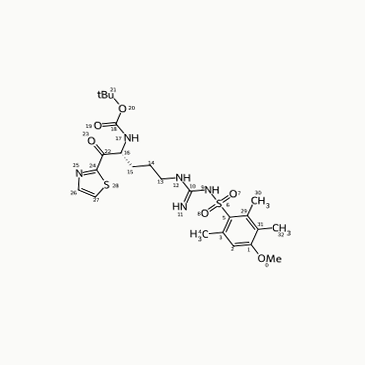 COc1cc(C)c(S(=O)(=O)NC(=N)NCCC[C@@H](NC(=O)OC(C)(C)C)C(=O)c2nccs2)c(C)c1C